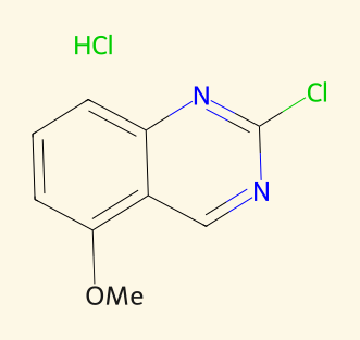 COc1cccc2nc(Cl)ncc12.Cl